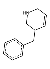 [CH]1NCC=CC1Cc1ccccc1